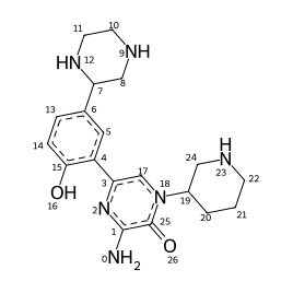 Nc1nc(-c2cc(C3CNCCN3)ccc2O)cn(C2CCCNC2)c1=O